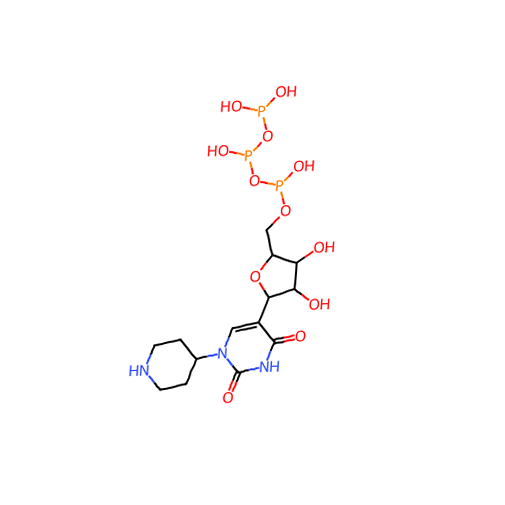 O=c1[nH]c(=O)n(C2CCNCC2)cc1C1OC(COP(O)OP(O)OP(O)O)C(O)C1O